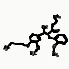 CCCCOc1ccc(C(O)C(Oc2ccccc2OC)C(=O)OCC)cc1OC